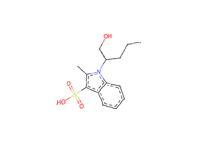 CCCC(CO)n1c(C)c(S(=O)(=O)O)c2ccccc21